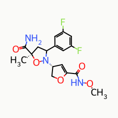 CONC(=O)C1=C[C@@H](N2O[C@@](C)(C(N)=O)CC2c2cc(F)cc(F)c2)CO1